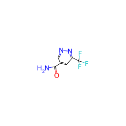 NC(=O)c1cnnc(C(F)(F)F)c1